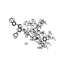 Cc1c(C)c(S(=O)(=O)N(CCC[C@H](NC(=O)CCC(=O)OCOc2cc(N3CCOCC3)[o+]c3c(-c4ccc5c(c4)OCCO5)csc23)C(=O)NCC(=O)N[C@@H](CC(=O)OC(C)(C)C)C(=O)N[C@@H](COC(C)(C)C)C(=O)OC(C)(C)C)C(=N)N)c(C)c2c1OC(C)(C)C2.[Cl-]